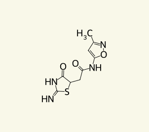 Cc1cc(NC(=O)CC2SC(=N)NC2=O)on1